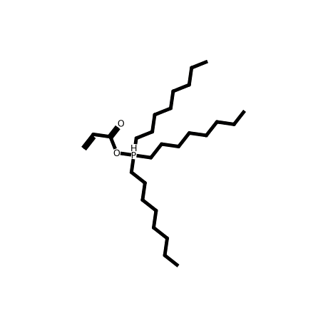 C=CC(=O)O[PH](CCCCCCCC)(CCCCCCCC)CCCCCCCC